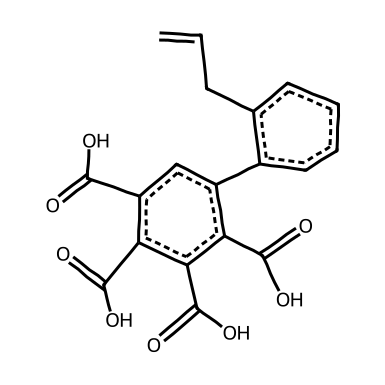 C=CCc1ccccc1-c1cc(C(=O)O)c(C(=O)O)c(C(=O)O)c1C(=O)O